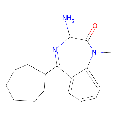 CN1C(=O)C(N)N=C(C2CCCCCC2)c2ccccc21